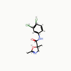 CC1=NCC(C)(C(=O)Nc2ccc(Cl)c(Cl)c2)O1